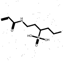 C=CC(=O)NCCC(CCC)P(=O)(O)O